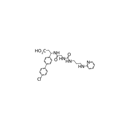 O=C(O)CC(NC(=O)CNC(=O)NCCCNc1ccccn1)c1ccc(-c2ccc(Cl)cc2)cc1